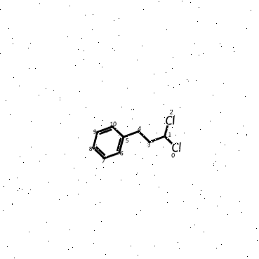 ClC(Cl)[CH]Cc1ccccc1